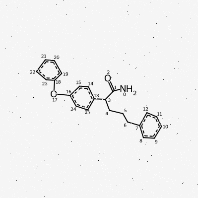 NC(=O)C(CCCc1ccccc1)c1ccc(Oc2ccccc2)cc1